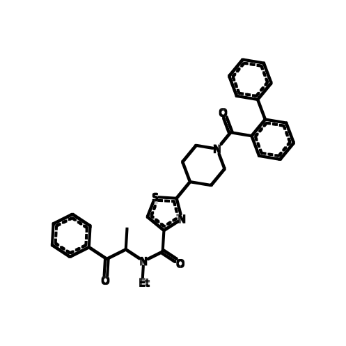 CCN(C(=O)c1csc(C2CCN(C(=O)c3ccccc3-c3ccccc3)CC2)n1)C(C)C(=O)c1ccccc1